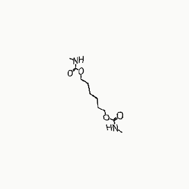 CNC(=O)OCCCCCCOC(=O)NC